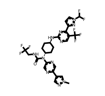 Cn1cc(-c2cnc(N(C(=O)NCC(F)(F)F)[C@H]3CC[C@H](Nc4ncc(C(F)(F)F)c(-c5ccn(C(F)F)n5)n4)CC3)cn2)cn1